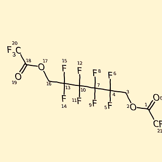 O=C(OCC(F)(F)C(F)(F)C(F)(F)C(F)(F)COC(=O)C(F)(F)F)C(F)(F)F